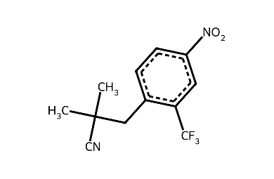 CC(C)(C#N)Cc1ccc([N+](=O)[O-])cc1C(F)(F)F